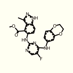 COC(=O)c1c(Nc2ncc(F)c(Nc3ccc4c(c3)OCCO4)n2)ccc2[nH]nc(C)c12